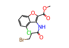 COC(=O)c1oc2cccc(Cl)c2c1NC(=O)CCBr